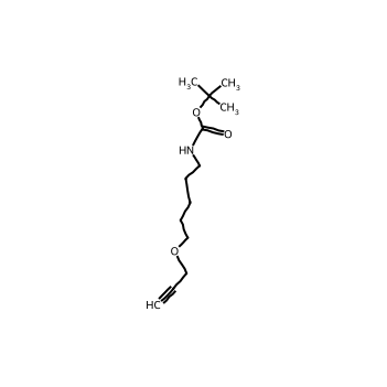 C#CCOCCCCCNC(=O)OC(C)(C)C